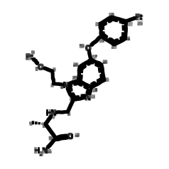 CCOCCn1c(CN[C@@H](C)C(N)=O)nc2ccc(Oc3ccc(CC)cc3)cc21